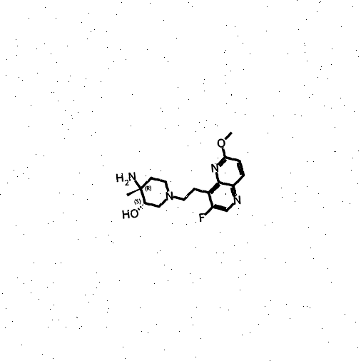 COc1ccc2ncc(F)c(CCN3CC[C@@](C)(N)[C@@H](O)C3)c2n1